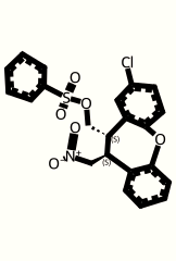 O=[N+]([O-])C[C@@H]1c2ccccc2Oc2ccc(Cl)cc2[C@H]1COS(=O)(=O)c1ccccc1